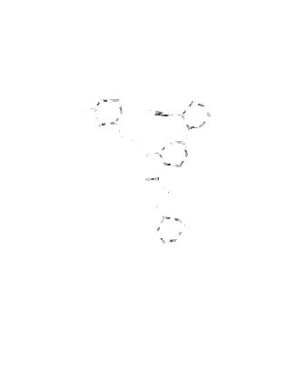 COc1ccc(CNC(=O)c2ccc(-c3ccccc3C#N)nc2NCCc2cccc(F)c2)cn1